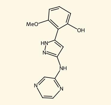 COc1cccc(O)c1-c1cc(Nc2cnccn2)n[nH]1